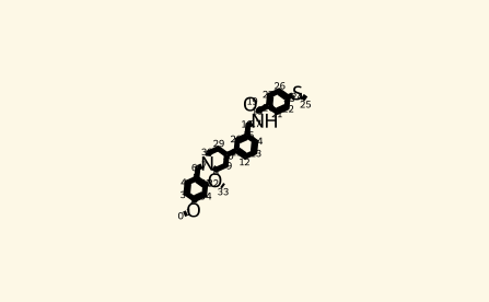 COc1ccc(CN2CCC(c3cccc(CNC(=O)c4ccc(SC)cc4)c3)CC2)c(OC)c1